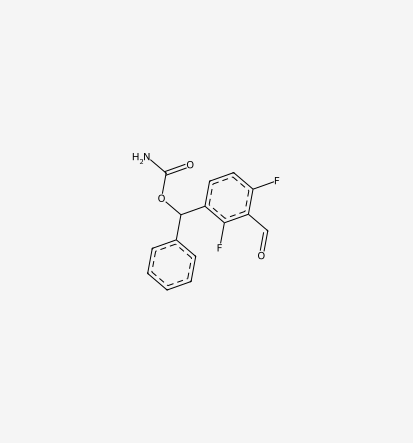 NC(=O)OC(c1ccccc1)c1ccc(F)c(C=O)c1F